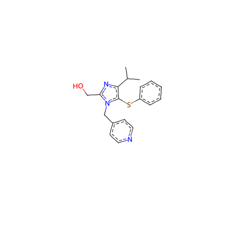 CC(C)c1nc(CO)n(Cc2ccncc2)c1Sc1ccccc1